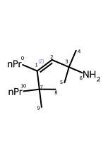 CCC/C(=C/C(C)(C)N)C(C)(C)CCC